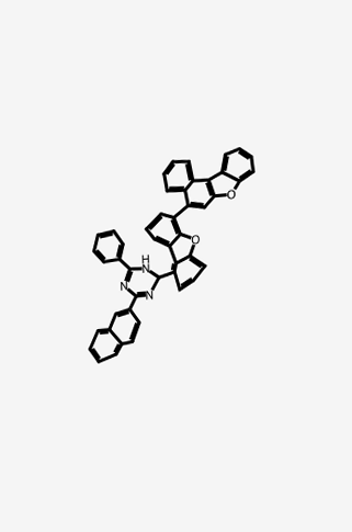 c1ccc(C2=NC(c3ccc4ccccc4c3)=NC(c3cccc4oc5c(-c6cc7oc8ccccc8c7c7ccccc67)cccc5c34)N2)cc1